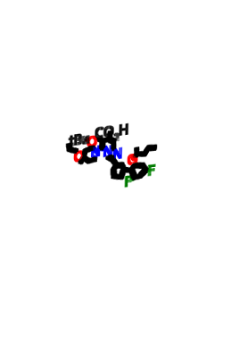 C=CCOC1(C)CCN(c2c(C(OC(C)(C)C)C(=O)O)c(C)cc3nc(-c4cccc(-c5c(F)cc(F)cc5OC(C)CC=C)c4)cn23)CC1